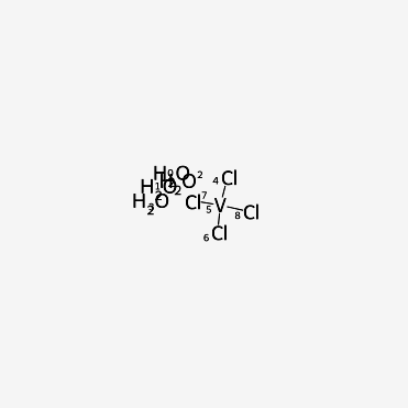 O.O.O.O.[Cl][V]([Cl])([Cl])[Cl]